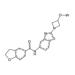 CC(C)OC1CN(c2nc3cc(NC(=O)c4ccc5c(c4)CCO5)ccc3o2)C1